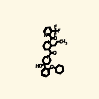 CCCC1C(C(=O)N2CCC(O)(c3ccccc3OC3CCCCC3)CC2)CCCN1C(=O)c1ncccc1C(F)(F)F